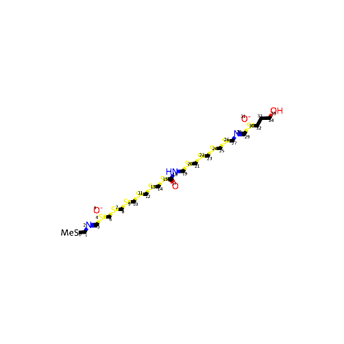 CSC/N=C/[S+]([O-])CSCSCSCSCSC(=O)NCSCSCSCSC/N=C/[S+]([O-])CCCO